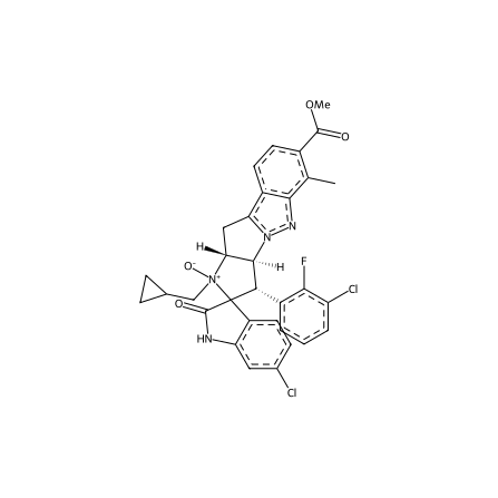 COC(=O)c1ccc2c3n(nc2c1C)[C@@H]1[C@@H](C3)[N+]([O-])(CC2CC2)C2(C(=O)Nc3cc(Cl)ccc32)[C@H]1c1cccc(Cl)c1F